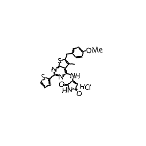 COc1ccc(Cc2sc3nc(-c4cccs4)nc(NC4=CC(=O)NC4=O)c3c2C)cc1.Cl